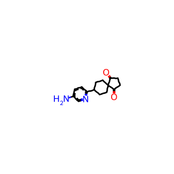 Nc1ccc(C2CCC3(CC2)C(=O)CCC3=O)nc1